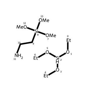 CCO[SiH](OCC)OCC.CO[Si](CCN)(OC)OC